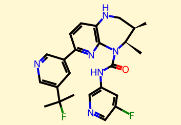 C[C@@H]1CNc2ccc(-c3cncc(C(C)(C)F)c3)nc2N(C(=O)Nc2cncc(F)c2)[C@@H]1C